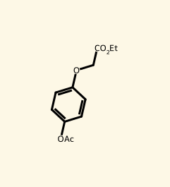 CCOC(=O)COc1ccc(OC(C)=O)cc1